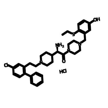 CCSc1ccc(O)cc1CN1CCN(C(=O)[C@H](N)C2CCN(CCc3cc(Cl)ccc3-c3ccccc3)CC2)CC1.Cl